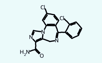 NC(=O)c1ncn2c1CN=C(c1ccccc1Cl)c1ccc(Cl)cc1-2